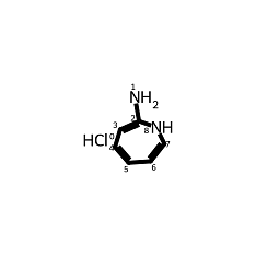 Cl.NC1=CC=CC=CN1